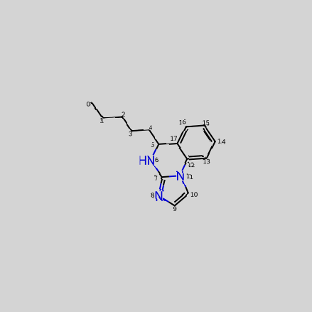 CCCCCC1Nc2nccn2-c2ccccc21